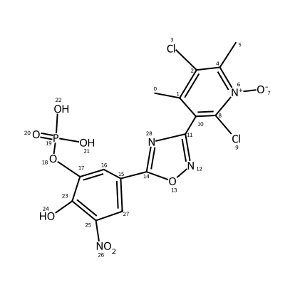 Cc1c(Cl)c(C)[n+]([O-])c(Cl)c1-c1noc(-c2cc(OP(=O)(O)O)c(O)c([N+](=O)[O-])c2)n1